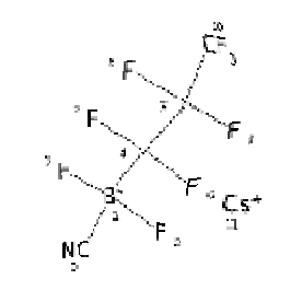 N#C[B-](F)(F)C(F)(F)C(F)(F)C(F)(F)F.[Cs+]